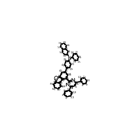 c1ccc(-c2cc(-c3ccccc3)nc(-c3cc(-c4ccc(N(c5ccccc5)c5ccc6ccccc6c5)cc4)cc4oc5ccccc5c34)n2)cc1